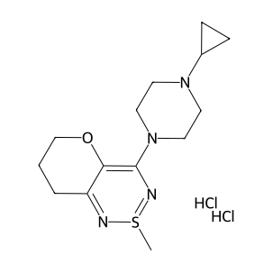 CS1=NC(N2CCN(C3CC3)CC2)=C2OCCCC2=N1.Cl.Cl